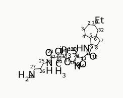 CCC1CCCC2C(CCC2NC(=O)c2onc(OCC(C)(C)C(=O)NCCCN)c2SC(C)C)C1